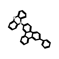 c1ccc(-c2ccc3c4ccc(N5c6ccccc6Oc6ccccc65)cc4c4ccccc4c3c2)cc1